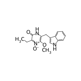 CCc1c(=O)[nH]c(Cc2c[nH]c3ccccc23)c(OC)[n+]1[O-]